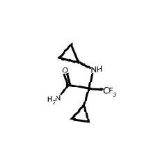 NC(=O)C(NC1CC1)(C1CC1)C(F)(F)F